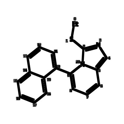 CCSc1ncc2cccc(-c3cccc4ccccc34)n12